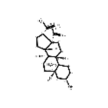 C=C(C)[C@H]1CC[C@H]2[C@@H]3CC[C@H]4C[C@H](O)CC[C@]4(C)[C@H]3CC[C@]12C(C)=O